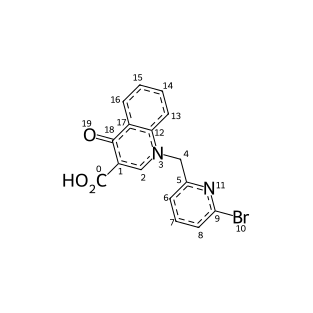 O=C(O)c1cn(Cc2cccc(Br)n2)c2ccccc2c1=O